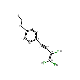 CCCc1ccc(C#CC(F)=C(F)F)cc1